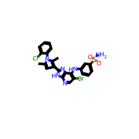 Cc1cc(-c2nc3c(Nc4cccc(S(N)(=O)=O)c4)c(Br)cnc3[nH]2)c(C)n1-c1ccccc1Cl